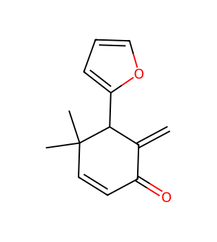 C=C1C(=O)C=CC(C)(C)C1c1ccco1